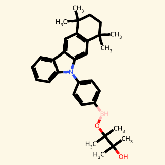 CC1(C)CCC(C)(C)c2cc3c(cc21)c1ccccc1n3-c1ccc(BOC(C)(C)C(C)(C)O)cc1